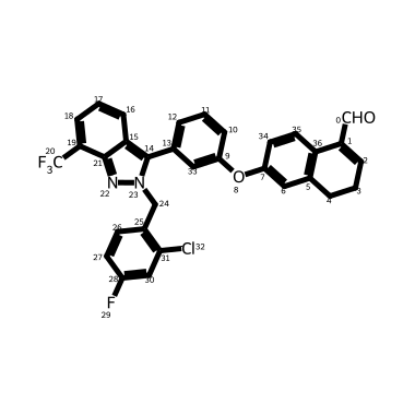 O=CC1=CCCc2cc(Oc3cccc(-c4c5cccc(C(F)(F)F)c5nn4Cc4ccc(F)cc4Cl)c3)ccc21